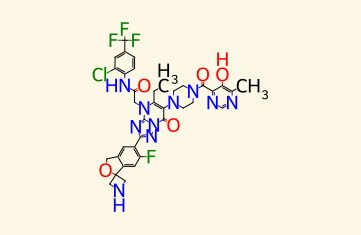 CCc1c(N2CCN(C(=O)c3ncnc(C)c3O)CC2)c(=O)n2nc(-c3cc4c(cc3F)C3(CNC3)OC4)nc2n1CC(=O)Nc1ccc(C(F)(F)F)cc1Cl